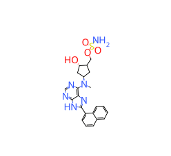 CN(c1ncnc2[nH]c(-c3cccc4ccccc34)nc12)[C@@H]1CC(COS(N)(=O)=O)[C@@H](O)C1